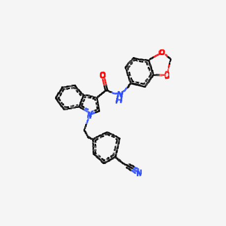 N#Cc1ccc(Cn2cc(C(=O)Nc3ccc4c(c3)OCO4)c3ccccc32)cc1